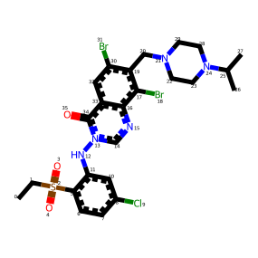 CCS(=O)(=O)c1ccc(Cl)cc1Nn1cnc2c(Br)c(CN3CCN(C(C)C)CC3)c(Br)cc2c1=O